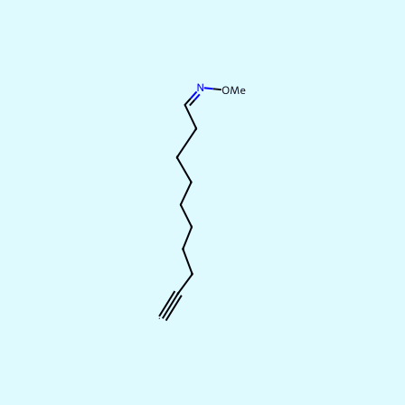 [C]#CCCCCCCC/C=N\OC